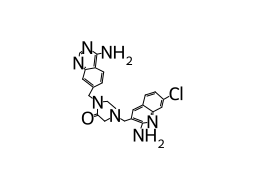 Nc1nc2cc(Cl)ccc2cc1CN1CCN(Cc2ccc3c(N)ncnc3c2)C(=O)C1